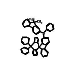 CC1(C)c2ccccc2-c2ccc(N(c3ccccc3)c3ccc4c(c3)C3(c5ccccc5-4)c4ccccc4C(c4ccccc4)(c4ccccc4)c4ccccc43)cc21